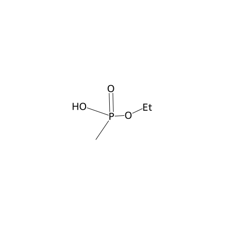 CCOP(C)(=O)O